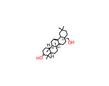 CC1(C)CC[C@]2(CO)CC[C@]3(C)C(=CC[C@@H]4[C@@]5(C)CC[C@H](O)C(C)(C)[C@@H]5CC[C@]43C)C2C1